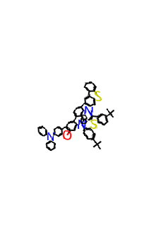 CC(C)(C)c1ccc(N2B3c4sc5ccc(C(C)(C)C)cc5c4-n4c5cc6sc7ccccc7c6cc5c5ccc(c3c54)-c3cc4c(cc32)oc2cc(N(c3ccccc3)c3ccccc3)ccc24)cc1